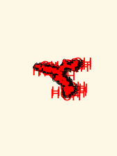 CC[C@H](C)[C@H](C[C@H](O)CC(=O)N[C@@H]1C(O)C(O[C@@H]2OC(C)[C@H](O[C@@H]3OC[C@@H](O)C(O[C@@H]4OC[C@@](O)(COCc5ccccc5)C4O)C3O)C(O)C2O)[C@H](OC(=O)[C@]23CCC(C)(C)CC2C2=CCC4C5(C)CC[C@H](O[C@@H]6OC[C@@H](C)[C@H](O[C@@H]7OC[C@@H](O)[C@H](O)C7O)C6O[C@@H]6OC(CO)[C@H](O)[C@H](O)C6O)C(C)(C=O)[C@@H]5CCC4(C)C2(C)C[C@H]3O)O[C@@H]1C)OC(=O)C[C@@H](O)C[C@H](O[C@@H]1OC(CO)C(O)C1O)[C@@H](C)CC